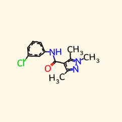 Cc1nn(C)c(C)c1C(=O)Nc1cccc(Cl)c1